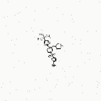 C[C@@](O)(c1cnc(N2CCN(S(=O)(=O)c3ccc(N)s3)C[C@@H]2CC2CCOCC2)nc1)C(F)(F)F